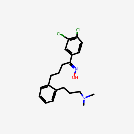 CN(C)CCCc1ccccc1CCCC(=NO)c1ccc(Cl)c(Cl)c1